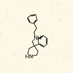 c1ccc(CCNCC2(c3ccccc3)CCNCC2)cc1